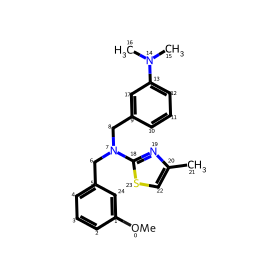 COc1cccc(CN(Cc2cccc(N(C)C)c2)c2nc(C)cs2)c1